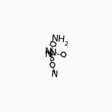 N#Cc1ccc(CSc2nnc(-c3ccc(N)cc3)n2CCc2ccccc2)cc1